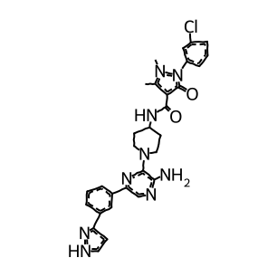 Cc1c(C(=O)NC2CCN(c3nc(-c4cccc(-c5cc[nH]n5)c4)cnc3N)CC2)c(=O)n(-c2cccc(Cl)c2)n1C